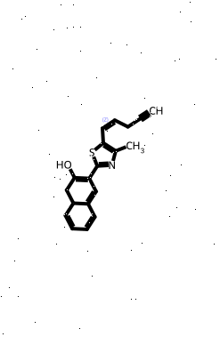 C#CC/C=C\c1sc(C2=C(O)CC3C=CC=CC3=C2)nc1C